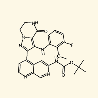 COc1c(F)cccc1Nc1c(-c2ccnc3cnc(NC(=O)OC(C)(C)C)cc23)nn2c1C(=O)NCC2